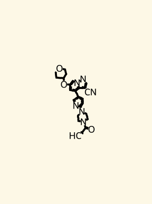 C#CC(=O)N1CCN(c2ccc(-c3cc(OC4CCOCC4)cn4ncc(C#N)c34)cn2)CC1